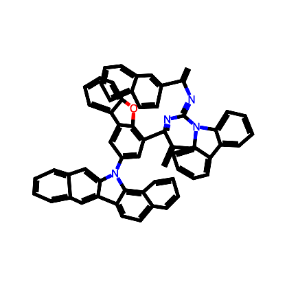 C=C(C)/C(=N\C(=N/C(=C)c1ccc2ccccc2c1)n1c2ccccc2c2ccccc21)c1cc(-n2c3cc4ccccc4cc3c3ccc4ccccc4c32)cc2c1oc1ccccc12